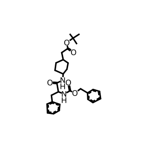 CC(C)(C)OC(=O)CC1CCC(NC(=O)C(Cc2ccccc2)NC(=O)OCc2ccccc2)CC1